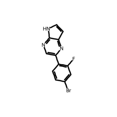 Fc1cc(Br)ccc1-c1cnc2[nH]ccc2n1